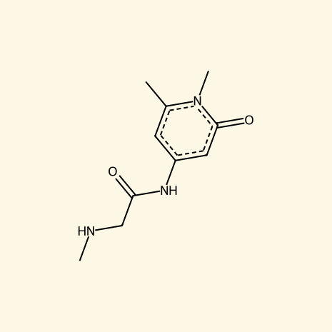 CNCC(=O)Nc1cc(C)n(C)c(=O)c1